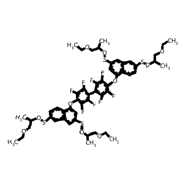 CCOCC(C)OSc1ccc2c(Oc3c(F)c(F)c(-c4c(F)c(F)c(Oc5cc(SOC(C)COCC)cc6cc(SOC(C)COCC)ccc56)c(F)c4F)c(F)c3F)cc(SOC(C)COCC)cc2c1